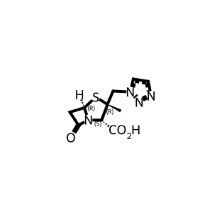 C[C@]1(Cn2ccnn2)S[C@@H]2CC(=O)N2[C@H]1C(=O)O